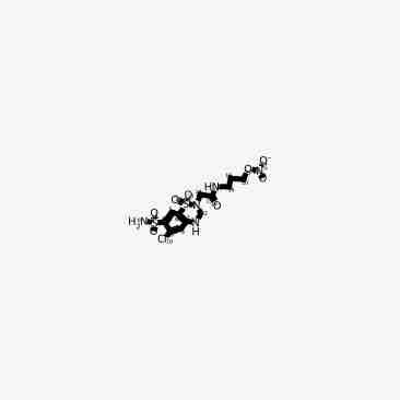 NS(=O)(=O)c1cc2c(cc1Cl)NCN(CC(=O)NCCCO[N+](=O)[O-])S2(=O)=O